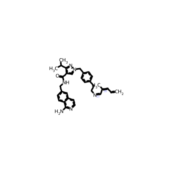 C=C/C=C(C)\C=N/CCc1ccc(Cn2cc(C(=O)NCc3ccc4c(N)nccc4c3)c(C(C)C)n2)cc1